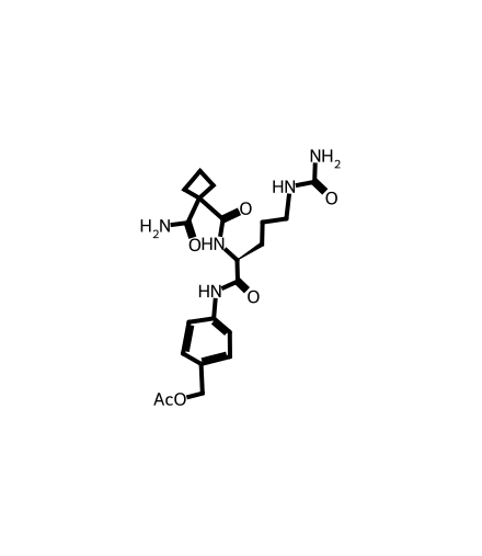 CC(=O)OCc1ccc(NC(=O)[C@H](CCCNC(N)=O)NC(=O)C2(C(N)=O)CCC2)cc1